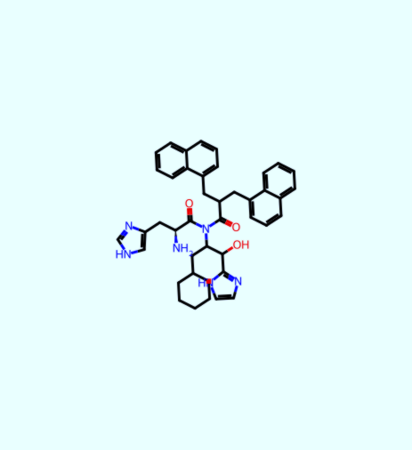 N[C@@H](Cc1c[nH]cn1)C(=O)N(C(=O)C(Cc1cccc2ccccc12)Cc1cccc2ccccc12)C(CC1CCCCC1)C(O)c1ncc[nH]1